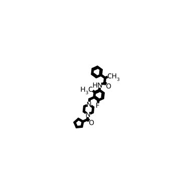 Cc1c(NC(=O)C(C)c2ccccc2)ccc(F)c1CN1CCN(C(=O)C2CCCC2)CC1